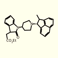 CCOC(=O)CC1C(=O)N(C2CCN([C@@H]3c4cccc5cccc(c45)C3C)CC2)c2ccccc21